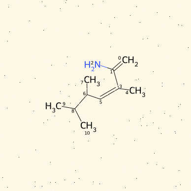 C=C(N)/C(C)=C\C(C)C(C)C